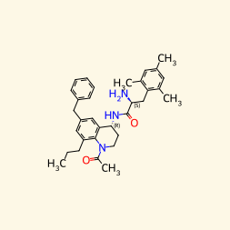 CCCc1cc(Cc2ccccc2)cc2c1N(C(C)=O)CC[C@H]2NC(=O)[C@@H](N)Cc1c(C)cc(C)cc1C